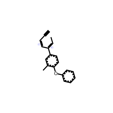 C#C/C=C\C(=C/C)c1ccc(Oc2ccccc2)c(C)c1